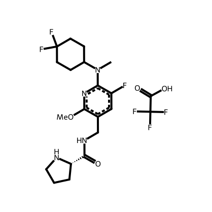 COc1nc(N(C)C2CCC(F)(F)CC2)c(F)cc1CNC(=O)[C@@H]1CCCN1.O=C(O)C(F)(F)F